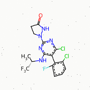 C[C@H](Nc1nc(N2CCC(=O)N2)nc(Cl)c1-c1c(F)cccc1Cl)C(F)(F)F